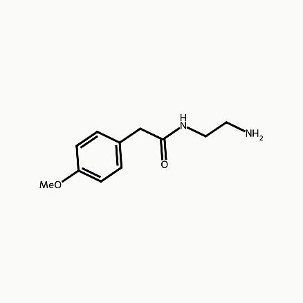 COc1ccc(CC(=O)NCCN)cc1